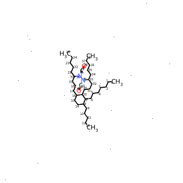 CCCCCCCC1C(CCCCC)CCC(CCCC(CCCCC)N=C=O)C1CCCC(CCCCC)N=C=O